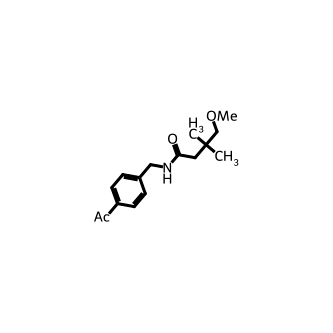 COCC(C)(C)CC(=O)NCc1ccc(C(C)=O)cc1